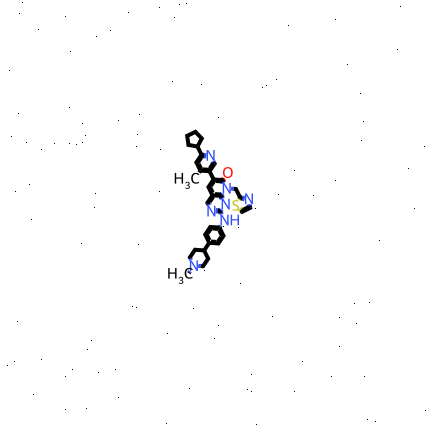 Cc1cc(C2CCCC2)ncc1-c1cc2cnc(Nc3ccc(C4CCN(C)CC4)cc3)nc2n(Cc2nccs2)c1=O